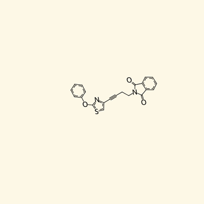 O=C1c2ccccc2C(=O)N1CCC#Cc1csc(Oc2ccccc2)n1